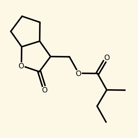 CCC(C)C(=O)OCC1C(=O)OC2CCCC21